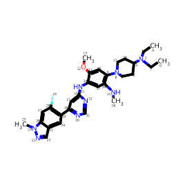 CCN(CC)C1CCN(c2cc(OC)c(Nc3cc(-c4cc5cnn(C)c5cc4F)ncn3)cc2NC)CC1